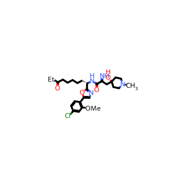 CCC(=O)CCCCC[C@H](NC(=O)C(=N)CC1(O)CCN(C)CC1)c1ncc(-c2ccc(Cl)cc2OC)o1